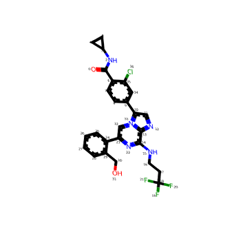 O=C(NC1CC1)c1ccc(-c2cnc3c(NCCC(F)(F)F)nc(-c4ccccc4CO)cn23)cc1Cl